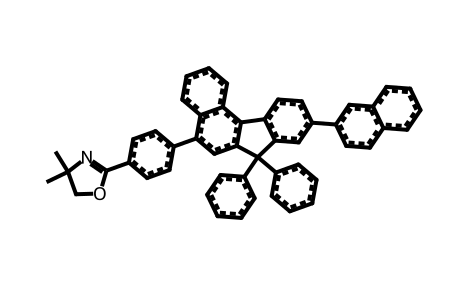 CC1(C)COC(c2ccc(-c3cc4c(c5ccccc35)-c3ccc(-c5ccc6ccccc6c5)cc3C4(c3ccccc3)c3ccccc3)cc2)=N1